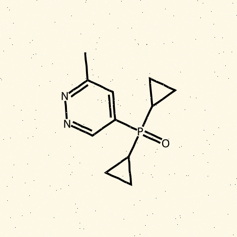 Cc1cc(P(=O)(C2CC2)C2CC2)cnn1